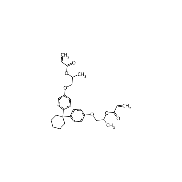 C=CC(=O)OC(C)COc1ccc(C2(c3ccc(OCC(C)OC(=O)C=C)cc3)CCCCC2)cc1